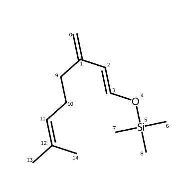 C=C(C=CO[Si](C)(C)C)CCC=C(C)C